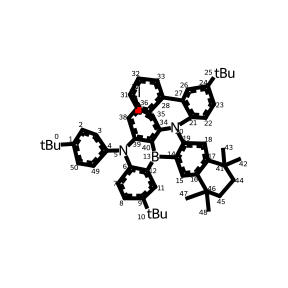 CC(C)(C)c1ccc(N2c3ccc(C(C)(C)C)cc3B3c4cc5c(cc4N(c4ccc(C(C)(C)C)cc4-c4ccccc4)c4cc(Cl)cc2c43)C(C)(C)CCC5(C)C)cc1